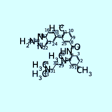 Cc1ccc(NC(=O)c2ccc(C)c(-c3ccc4nc(N)ncc4c3)c2)c(N(C)CCCN(C)C)c1